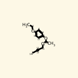 CCOc1ccc(OC(C)OCC#CI)cc1